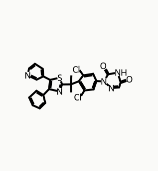 CC(C)(c1nc(-c2ccccc2)c(-c2cccnc2)s1)c1c(Cl)cc(-n2ncc(=O)[nH]c2=O)cc1Cl